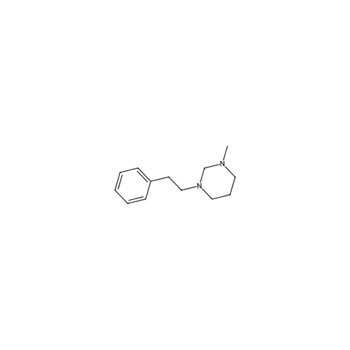 CN1CCCN(CCc2ccccc2)C1